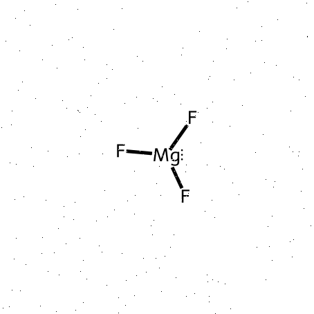 [F][Mg]([F])[F]